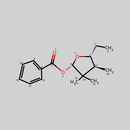 CC[C@H]1O[C@@H](OC(=O)c2ccccc2)C(C)(C)[C@@H]1C